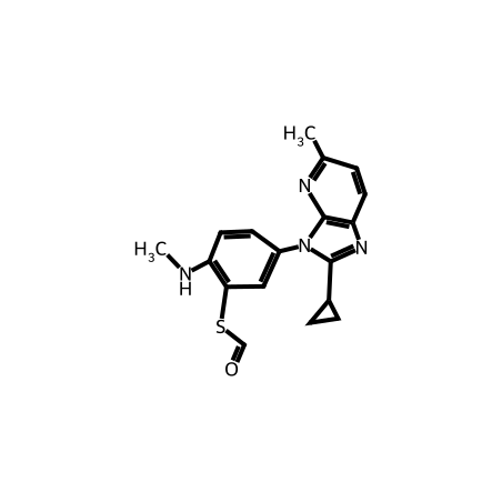 CNc1ccc(-n2c(C3CC3)nc3ccc(C)nc32)cc1SC=O